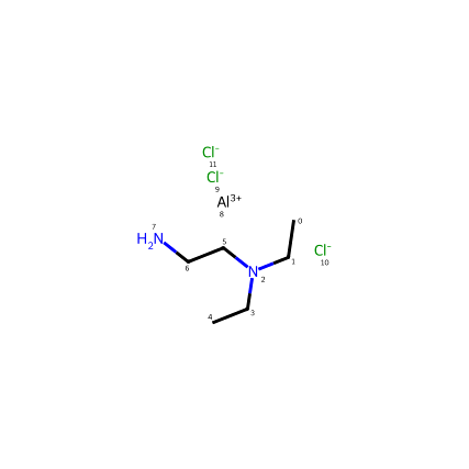 CCN(CC)CCN.[Al+3].[Cl-].[Cl-].[Cl-]